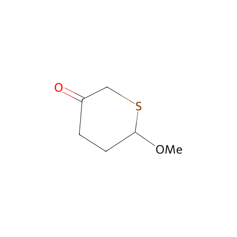 COC1CCC(=O)CS1